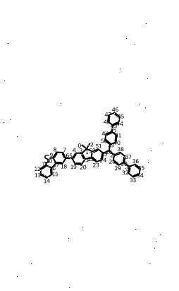 CC1(C)c2cc(-c3ccc4sc5ccccc5c4c3)ccc2-c2ccc(C(c3ccc(-c4ccccc4)cc3)c3ccc(-c4ccccc4)cc3)cc21